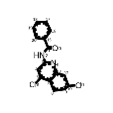 O=C(Nc1cc(Cl)c2ccc(Cl)cc2n1)c1ccccc1